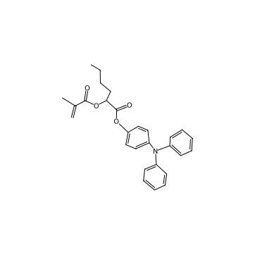 C=C(C)C(=O)OC(CCCC)C(=O)Oc1ccc(N(c2ccccc2)c2ccccc2)cc1